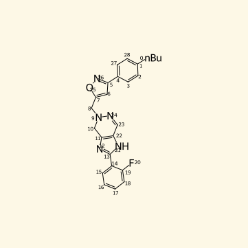 CCCCc1ccc(-c2cc(CN3Cc4nc(-c5ccccc5F)[nH]c4C=N3)on2)cc1